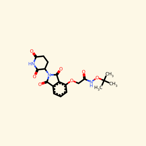 CC(C)(C)ONC(=O)COc1cccc2c1C(=O)N(C1CCC(=O)NC1=O)C2=O